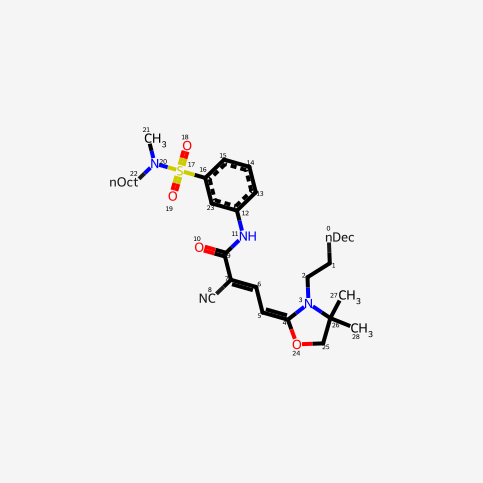 CCCCCCCCCCCCN1C(=CC=C(C#N)C(=O)Nc2cccc(S(=O)(=O)N(C)CCCCCCCC)c2)OCC1(C)C